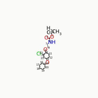 CC(C)OC(=O)NCCOc1ccc(Oc2ccccc2)cc1Cl